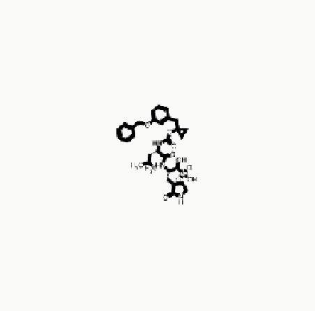 CC(C)C[C@H](NC(=O)OC1(Cc2cccc(OCc3ccccc3)c2)CC1)C(=O)N[C@@H](CC1CCNC1=O)C(O)S(=O)(=O)O